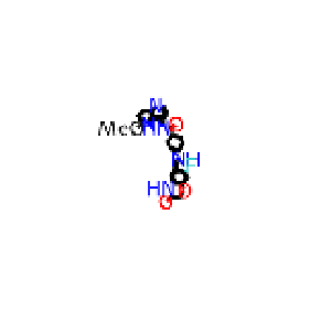 COc1ccc2nccc(NC(=O)[C@H]3CC[C@H](NCc4cc5c(cc4F)OCC(=O)N5)CC3)c2n1